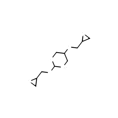 C1SC1CSC1C[Se]C(SCC2CS2)[Se]C1